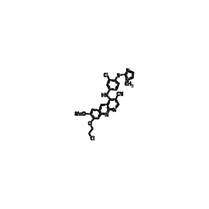 COc1cc2cc3c(Nc4ccc(Sc5nccn5C)c(Cl)c4)c(C#N)cnc3nc2cc1OCCCl